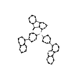 O=C1c2ccccc2-c2cccc(N(c3ccc(-c4cccc5ccccc45)cc3)c3ccc(-c4cccc5c4oc4ccccc45)cc3)c21